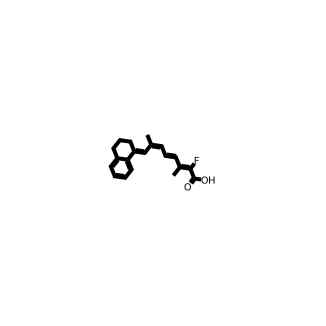 CC(=C/C=C/C(C)=C(\F)C(=O)O)/C=C1\CCCc2ccccc21